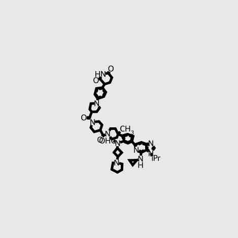 CC(C)n1cnc2cc(-c3ccc(C4(C)CCN(C(=O)C5CCN(C(=O)C6CCN(c7ccc(C8CCC(=O)NC8=O)cc7)CC6)CC5)CC4)c(N(C=O)C4CC(N5CCCCC5)C4)c3)nc(NC3CC3)c21